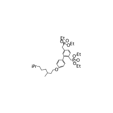 CCOP(=O)(Cc1ccc(CP(=O)(OCC)OCC)c(-c2ccc(OCCC(C)CCCC(C)C)cc2)c1)OCC